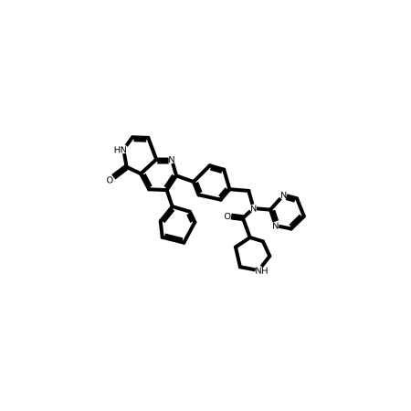 O=C(C1CCNCC1)N(Cc1ccc(-c2nc3cc[nH]c(=O)c3cc2-c2ccccc2)cc1)c1ncccn1